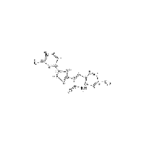 O=c1[nH]c2cc(C(F)(F)F)ccc2cc1-c1csc(-c2ccnc(Cl)c2)n1